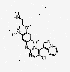 CNCCN(C)c1cc(OC)c(Nc2ncc(Cl)c(-c3cnn4ccccc34)n2)cc1[N+](=O)[O-]